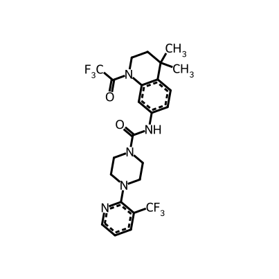 CC1(C)CCN(C(=O)C(F)(F)F)c2cc(NC(=O)N3CCN(c4ncccc4C(F)(F)F)CC3)ccc21